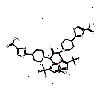 CC(=O)c1csc(C2CCN(C(Cn3nc(C(F)(F)F)cc3C)C(=O)C(Cn3nc(C(F)(F)F)cc3C)N3CCC(c4nc(C(C)=O)cs4)CC3)CC2)n1